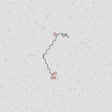 CCC1OC1CCCCCCC/C=C\CCCCCCC(=O)O